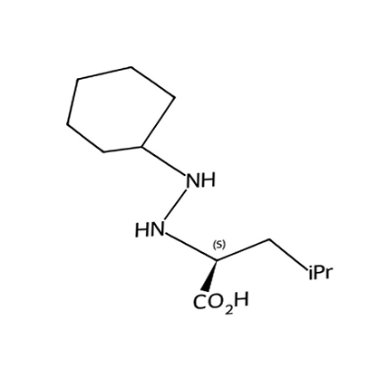 CC(C)C[C@H](NNC1CCCCC1)C(=O)O